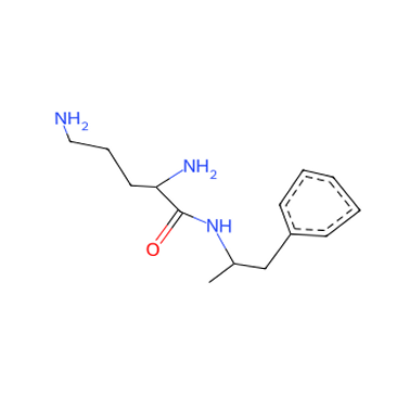 CC(Cc1ccccc1)NC(=O)C(N)CCCN